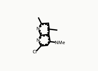 CNc1cc(Cl)nc2nc(C)cc(C)c12